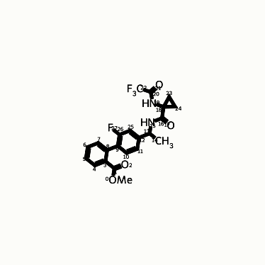 COC(=O)c1ccccc1-c1ccc(C(C)NC(=O)C2(NC(=O)C(F)(F)F)CC2)cc1F